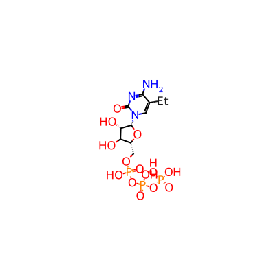 CCc1cn([C@@H]2O[C@H](COP(=O)(O)OP(=O)(O)OP(=O)(O)O)C(O)[C@@H]2O)c(=O)nc1N